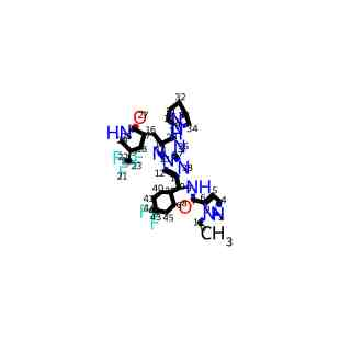 CCn1nccc1C(=O)N[C@H](c1cn2nc(C[C@H]3C[C@@H](C(F)(F)F)CNC3=O)c(N3CC4CC(C3)N4)nc2n1)C1CCC(F)(F)CC1